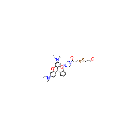 CCN(CC)c1ccc2c(-c3ccccc3C(=O)N3CCN(C(=O)CCSSCCC=O)CC3)c3ccc(=[N+](CC)CC)cc-3oc2c1